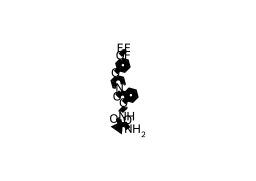 NC(=O)C1(C(=O)NCCOc2ccccc2C(=O)N2CCC(Oc3cccc(OC(F)(F)F)c3)CC2)CC1